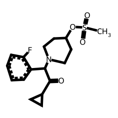 CS(=O)(=O)OC1CCN(C(C(=O)C2CC2)c2ccccc2F)CC1